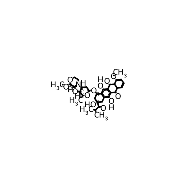 COC1=CC=CC2C(=O)c3c(O)c4c(c(O)c3C(=O)C12)[C@@H](O[C@H]1C[C@H]2[C@H](O[C@@H]3[C@@H](OC)OCCN32)[C@H](C)O1)C[C@](O)(C(=O)C(C)C)C4